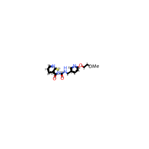 COCCOc1ccc(CNC(=O)n2sc3ncccc3c2=O)cn1